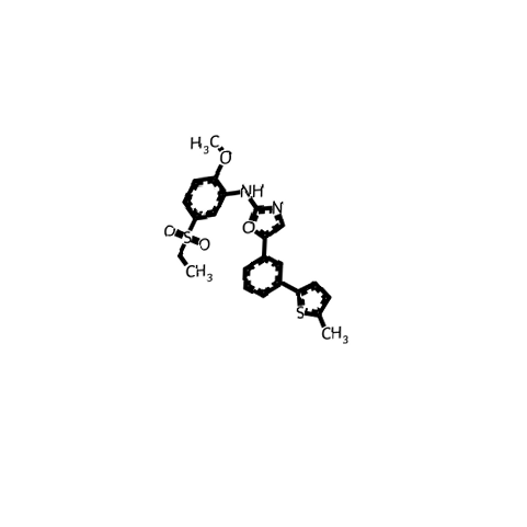 CCS(=O)(=O)c1ccc(OC)c(Nc2ncc(-c3cccc(-c4ccc(C)s4)c3)o2)c1